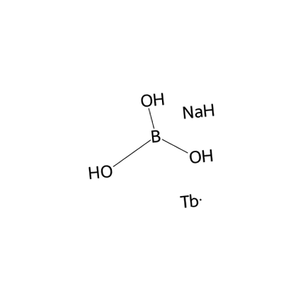 OB(O)O.[NaH].[Tb]